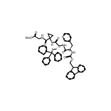 COC(=O)CNC(=O)C1(NC(=O)[C@@H](CSC(c2ccccc2)(c2ccccc2)c2ccccc2)NC(=O)[C@@H](Cc2cccnc2)NC(=O)OCC2c3ccccc3-c3ccccc32)CC1